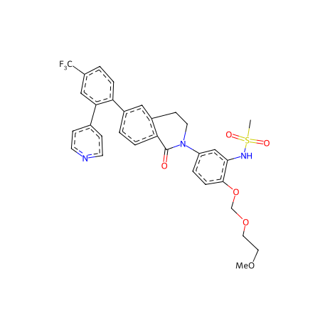 COCCOCOc1ccc(N2CCc3cc(-c4ccc(C(F)(F)F)cc4-c4ccncc4)ccc3C2=O)cc1NS(C)(=O)=O